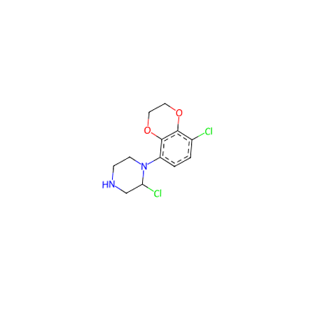 Clc1ccc(N2CCNCC2Cl)c2c1OCCO2